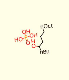 CCCCCCCCCCCC(O)CCCC.O=P(O)(O)O